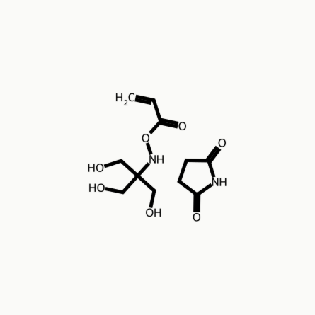 C=CC(=O)ONC(CO)(CO)CO.O=C1CCC(=O)N1